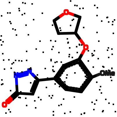 COc1ccc(C2=CC(=O)N=N2)cc1OC1CCOC1